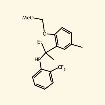 CCC(C)(Pc1ccccc1C(F)(F)F)c1cc(C)ccc1OCOC